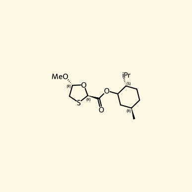 CO[C@H]1CS[C@H](C(=O)OC2C[C@H](C)CC[C@H]2C(C)C)O1